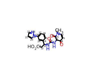 CN1C=CC(=O)C(NC(=O)NC(CC(=O)O)c2cccc(-n3cccn3)c2)C1=O